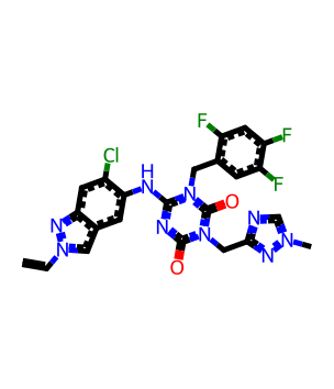 C=Cn1cc2cc(Nc3nc(=O)n(Cc4ncn(C)n4)c(=O)n3Cc3cc(F)c(F)cc3F)c(Cl)cc2n1